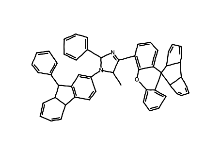 CC1C(c2cccc3c2Oc2ccccc2C32C3C=CC=CC3C3C=CC=CC32)=NC(c2ccccc2)N1c1ccc2c(c1)C(c1ccccc1)C1C=CC=CC21